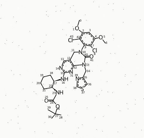 COc1cc(OC)c(Cl)c(N2Cc3cnc(N[C@@H]4CCCC[C@@H]4NC(=O)OC(C)(C)C)nc3N(Cc3cscn3)C2=O)c1Cl